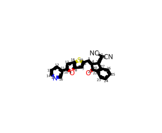 N#CC(C#N)=C1/C(=C/c2cc3oc(-c4cccnc4)cc3s2)C(=O)c2ccccc21